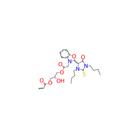 C=CC(=O)OCC(O)COC(=O)CN1/C(=C2/C(=O)N(CCCC)C(=S)N2CCCC)Oc2ccccc21